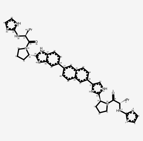 CC(C)[C@H](Nc1nccs1)C(=O)N1CCC[C@H]1c1nc(-c2ccc3cc(-c4ccc5[nH]c([C@@H]6CCCN6C(=O)[C@@H](Nc6ncc[nH]6)C(C)C)nc5c4)ccc3c2)c[nH]1